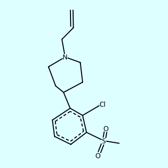 C=CCN1CCC(c2cccc(S(C)(=O)=O)c2Cl)CC1